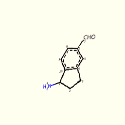 NC1CCc2cc(C=O)ccc21